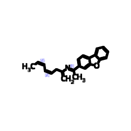 C=C(C/C=C\C=C/C)/N=C(\C)c1ccc2c(c1)oc1ccccc12